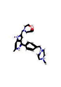 Cc1cc2[nH]c(CN3CCOCC3)cc2c(-c2ccc(CN3CCN(C)CC3)cc2)n1